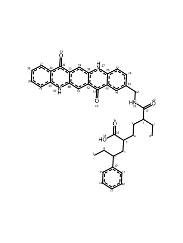 CCC(CCC(CC(CC)c1ccccc1)C(=O)O)C(=O)NCc1ccc2[nH]c3cc4c(=O)c5ccccc5[nH]c4cc3c(=O)c2c1